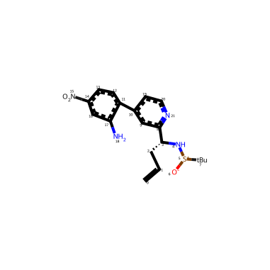 C=CC[C@@H](N[S+]([O-])C(C)(C)C)c1cc(-c2ccc([N+](=O)[O-])cc2N)ccn1